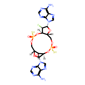 Nc1ncnc2c1ncn2[C@@H]1O[C@@H]2CO[P@@](=O)(S)O[C@@H]3[C@H](O)[C@@H](CO[P@@](=O)(S)O[C@H]2[C@H]1F)O[C@H]3n1cnc2c(N)ncnc21